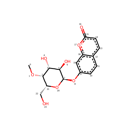 CO[C@@H]1[C@H](O)[C@@H](O)[C@@H](Oc2ccc3ccc(=O)oc3c2)O[C@@H]1CO